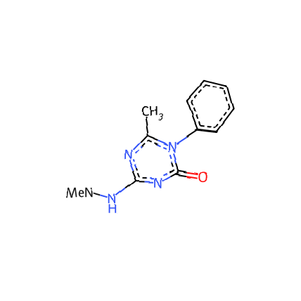 CNNc1nc(C)n(-c2ccccc2)c(=O)n1